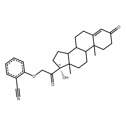 CC12CCC(=O)C=C1CCC1C2CCC2(C)C1CC[C@]2(O)C(=O)COc1ccccc1C#N